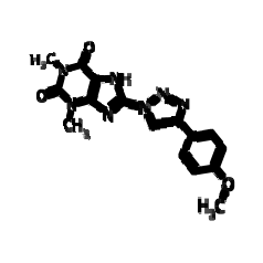 COc1ccc(-c2cn(-c3nc4c([nH]3)c(=O)n(C)c(=O)n4C)nn2)cc1